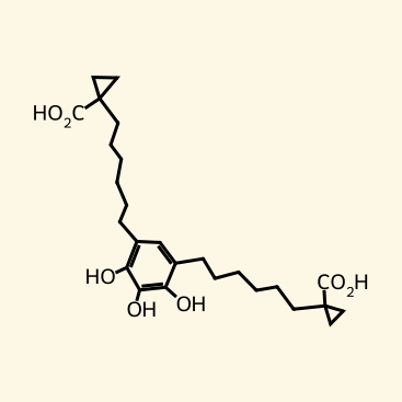 O=C(O)C1(CCCCCCc2cc(CCCCCCC3(C(=O)O)CC3)c(O)c(O)c2O)CC1